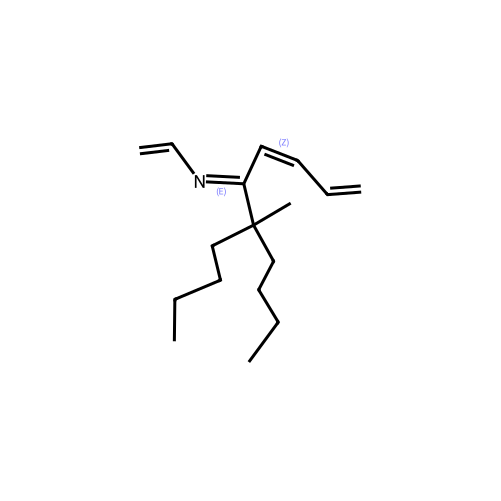 C=C/C=C\C(=N/C=C)C(C)(CCCC)CCCC